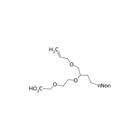 C=CCOCC(CCCCCCCCCCC)OCCOCC(=O)O